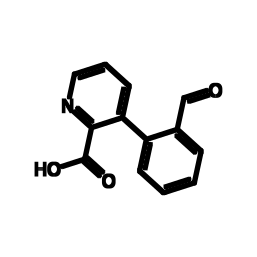 O=Cc1ccccc1-c1cccnc1C(=O)O